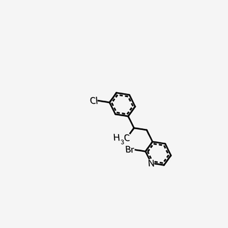 CC(Cc1cccnc1Br)c1cccc(Cl)c1